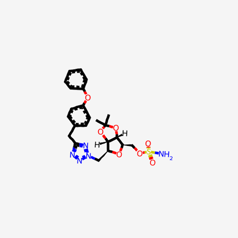 CC1(C)O[C@@H]2[C@H](O1)[C@@H](COS(N)(=O)=O)O[C@H]2Cn1nnc(Cc2ccc(Oc3ccccc3)cc2)n1